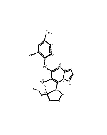 COC[C@@]1(I)CCCN1c1c(C)c(Nc2ccc(OC)cc2Cl)nc2ccnn12